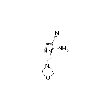 N#Cc1cnn(CCN2CCOCC2)c1N